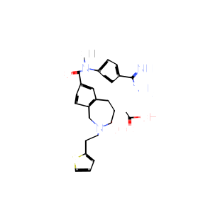 CN(C(=O)c1ccc2c(c1)C[C@H](CC(=O)O)C(=O)N(CCc1cccs1)C2)c1ccc(C(=N)N)cc1